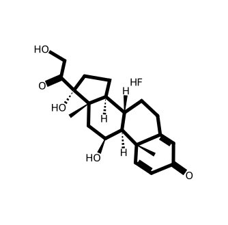 C[C@]12C=CC(=O)C=C1CC[C@@H]1[C@@H]2[C@@H](O)C[C@@]2(C)[C@H]1CC[C@]2(O)C(=O)CO.F